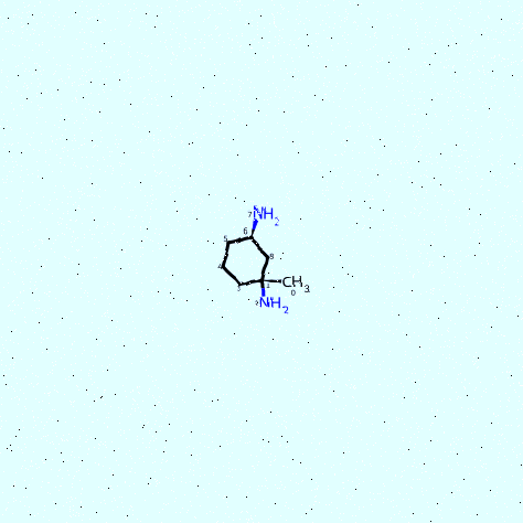 C[C@@]1(N)CCC[C@@H](N)C1